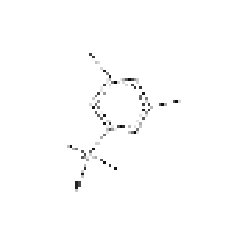 Cc1cc(C)cc([Si](C)(C)F)c1